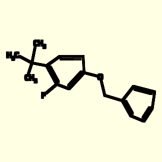 CC(C)(C)c1ccc(OCc2ccccc2)cc1F